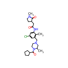 Cc1c(CN2CCN(C(=O)C3CCCC3)C(C)C2)cc(Cl)cc1NC(=O)CC1CCN(C)C1=O